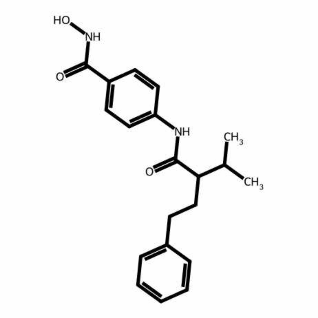 CC(C)C(CCc1ccccc1)C(=O)Nc1ccc(C(=O)NO)cc1